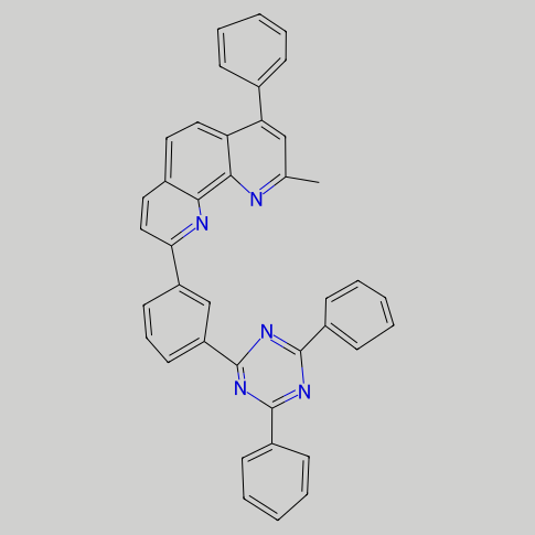 Cc1cc(-c2ccccc2)c2ccc3ccc(-c4cccc(-c5nc(-c6ccccc6)nc(-c6ccccc6)n5)c4)nc3c2n1